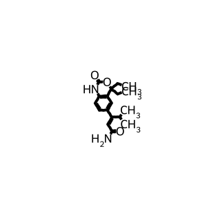 CCC1(CC)OC(=O)Nc2ccc(/C(=C/C(N)=O)C(C)C)cc21